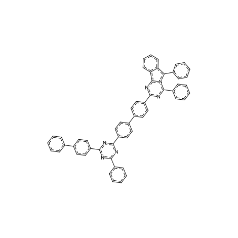 c1ccc(-c2ccc(-c3nc(-c4ccccc4)nc(-c4ccc(-c5ccc(-c6nc(-c7ccccc7)n7c(-c8ccccc8)c8ccccc8c7n6)cc5)cc4)n3)cc2)cc1